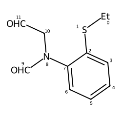 CCSc1ccccc1N(C=O)CC=O